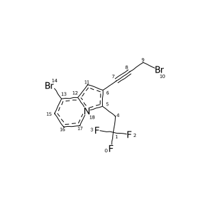 FC(F)(F)Cc1c(C#CCBr)cc2c(Br)cccn12